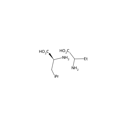 CC(C)C[C@H](N)C(=O)O.CCC(N)C(=O)O